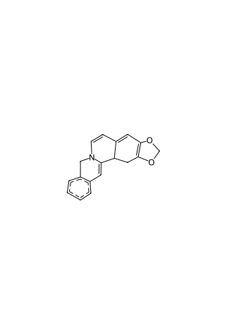 C1=CN2Cc3ccccc3C=C2C2CC3=C(C=C12)OCO3